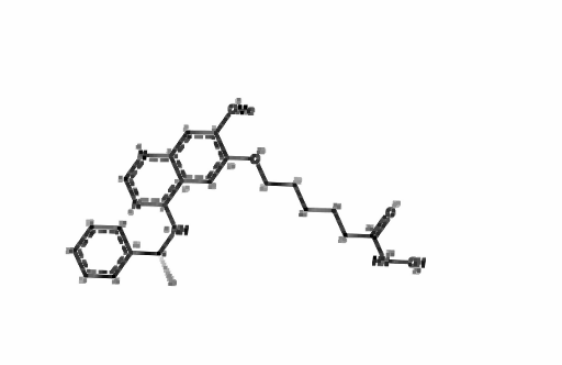 COc1cc2ncnc(N[C@H](C)c3ccccc3)c2cc1OCCCCCC(=O)NO